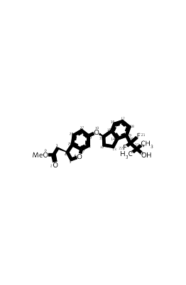 COC(=O)C[C@@H]1COc2cc(O[C@@H]3CCc4c3cccc4C(F)(F)C(C)(C)O)ccc21